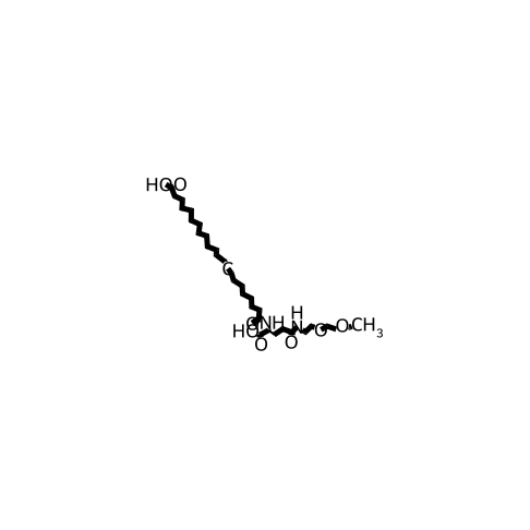 CCOCCOCCNC(=O)CC[C@H](NC(=O)CCCCCCCCCCCCCCCCCCCCC(=O)O)C(=O)O